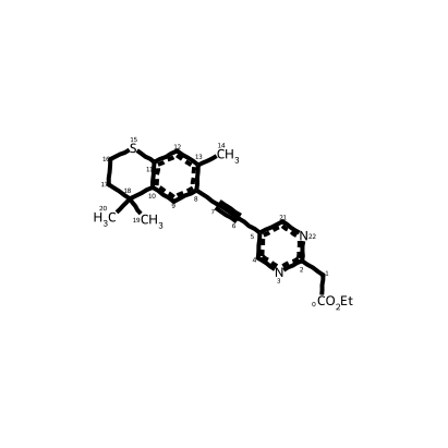 CCOC(=O)Cc1ncc(C#Cc2cc3c(cc2C)SCCC3(C)C)cn1